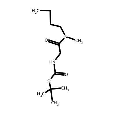 CCCCN(C)C(=O)CNC(=O)OC(C)(C)C